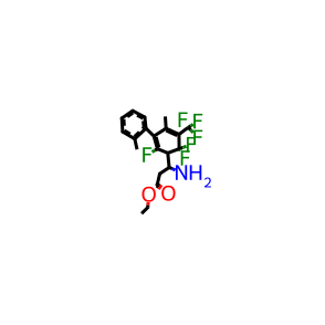 CCOC(=O)CC(N)C1C(F)=C(c2ccccc2C)C(C)=C(C(F)(F)F)C1(F)F